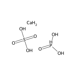 O=S(=O)(O)O.O=[PH](O)O.[CaH2]